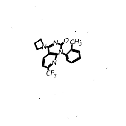 Cc1ccccc1-n1c(=O)nc(N2CCC2)c2ccc(C(F)(F)F)nc21